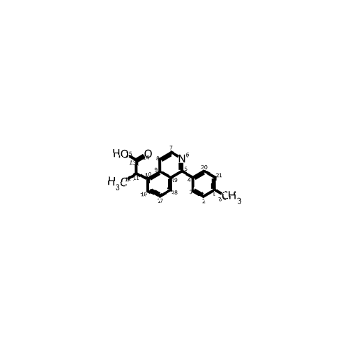 Cc1ccc(-c2nccc3c(C(C)C(=O)O)cccc23)cc1